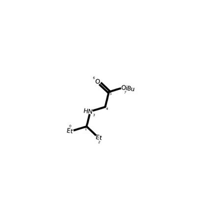 CCC(CC)NCC(=O)OCC(C)C